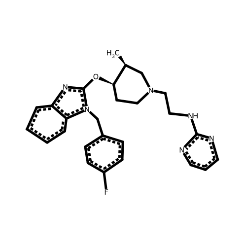 C[C@H]1CN(CCNc2ncccn2)CC[C@H]1Oc1nc2ccccc2n1Cc1ccc(F)cc1